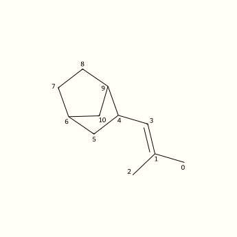 CC(C)=CC1CC2CCC1C2